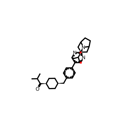 CC(C)C(=O)[C@H]1CC[C@@H](Cc2ccc(-c3cnc(N4C5CCC4CN(C(C)C)C5)nc3)cc2)CC1